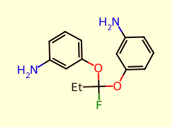 CCC(F)(Oc1cccc(N)c1)Oc1cccc(N)c1